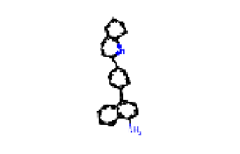 Nc1ccc(-c2ccc(-c3ccc4ccccc4n3)cc2)c2ccccc12